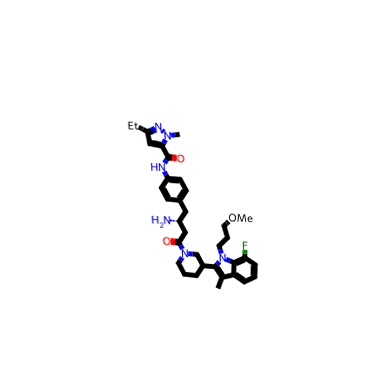 CCc1cc(C(=O)Nc2ccc(C[C@@H](N)CC(=O)N3CCCC(c4c(C)c5cccc(F)c5n4CCCOC)C3)cc2)n(C)n1